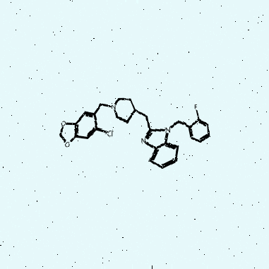 Fc1ccccc1Cn1c(CC2CCN(Cc3cc4c(cc3Cl)OCO4)CC2)nc2ccccc21